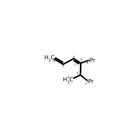 C=C/C=C(/C(C)C)C(C)C(C)C